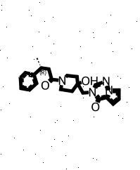 C[C@H](CC(=O)N1CCC(O)(Cn2cnn3cccc3c2=O)CC1)c1ccccc1